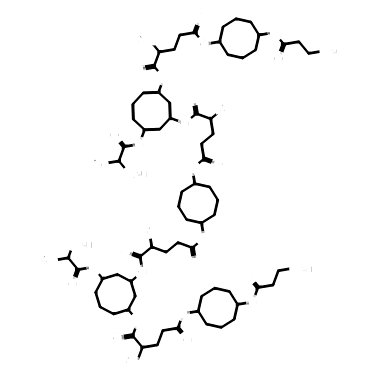 CC(=O)C(CCC(=O)OC1CCCC(OC(=O)CCC(C)(C)C)CCC1)C(=O)OC1CCCC(OC(=O)C(C(C)=O)C(C)(C)C)CC(OC(=O)C(CCC(=O)OC2CCCC(OC(=O)CCC(C(C)=O)C(=O)OC3CC(OC(=O)C(CCC(=O)OC4CCCC(OC(=O)CCC(C)(C)C)CCC4)C(C)=O)CCCC(OC(=O)C(C(C)=O)C(C)(C)C)C3)CCC2)C(C)=O)C1